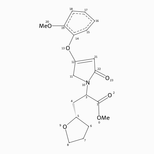 COC(=O)C(C[C@@H]1CCCO1)N1CC(Oc2ccccc2OC)=CC1=O